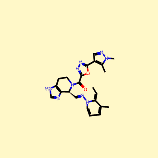 C/C=C1/C(C)=CC=CN1/N=C/[C@H]1c2nc[nH]c2CCN1C(=O)c1nnc(-c2cnn(C)c2C)o1